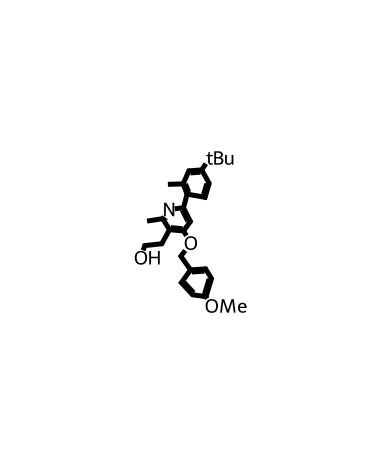 COc1ccc(COc2cc(-c3ccc(C(C)(C)C)cc3C)nc(C)c2CCO)cc1